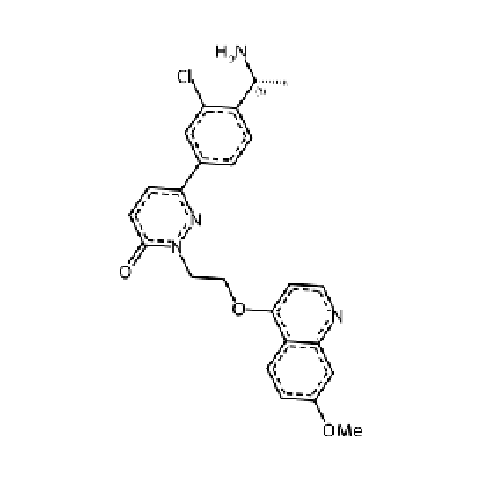 COc1ccc2c(OCCn3nc(-c4ccc([C@@H](C)N)c(Cl)c4)ccc3=O)ccnc2c1